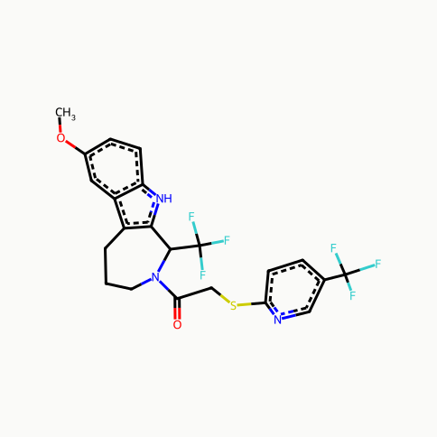 COc1ccc2[nH]c3c(c2c1)CCCN(C(=O)CSc1ccc(C(F)(F)F)cn1)C3C(F)(F)F